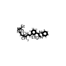 CCOc1nc2ccccc2nc1-c1cccc(/C=C/CC(C)(C)Cc2nnc(CC)o2)c1